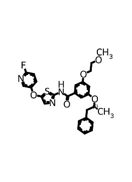 COCCOc1cc(O[C@@H](C)Cc2ccccc2)cc(C(=O)Nc2ncc(Oc3ccc(F)nc3)s2)c1